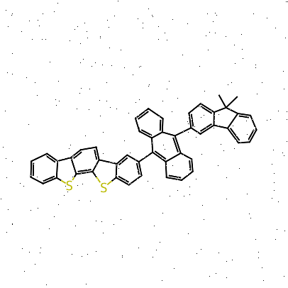 CC1(C)c2ccccc2-c2cc(-c3c4ccccc4c(-c4ccc5sc6c(ccc7c8ccccc8sc76)c5c4)c4ccccc34)ccc21